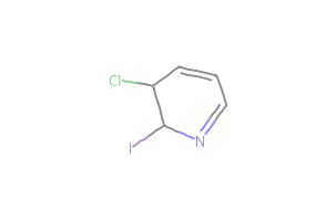 ClC1C=CC=NC1I